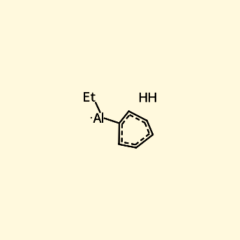 C[CH2][Al][c]1ccccc1.[HH]